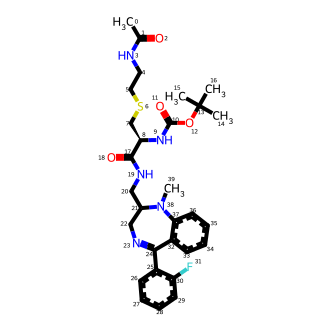 CC(=O)NCCSC[C@@H](NC(=O)OC(C)(C)C)C(=O)NCC1CN=C(c2ccccc2F)c2ccccc2N1C